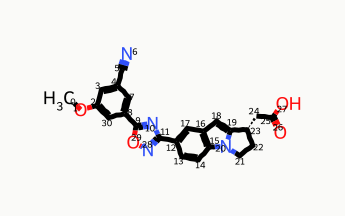 COc1cc(C#N)cc(-c2nc(-c3ccc4c(c3)cc3n4CC[C@H]3CC(=O)O)no2)c1